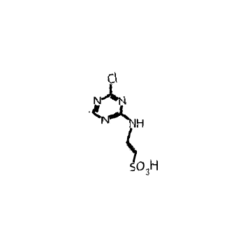 O=S(=O)(O)CCNc1n[c]nc(Cl)n1